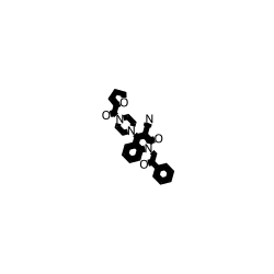 N#Cc1c(N2CCN(C(=O)C3=CCCO3)CC2)c2ccccc2n(CC(=O)c2ccccc2)c1=O